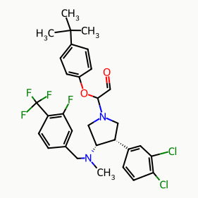 CN(Cc1ccc(C(F)(F)F)c(F)c1)[C@@H]1CN(C(C=O)Oc2ccc(C(C)(C)C)cc2)C[C@@H]1c1ccc(Cl)c(Cl)c1